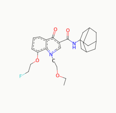 CCOCCn1cc(C(=O)NC23CC4CC(CC(C4)C2)C3)c(=O)c2cccc(OCCF)c21